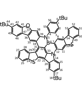 CC(C)(C)c1ccc(N2B3c4cc5c(cc4-n4c6ccc(C(C)(C)C)cc6c6c7sc8ccccc8c7c(c3c64)-c3cc4c(cc32)oc2cc(C(C)(C)C)ccc24)sc2ccccc25)cc1